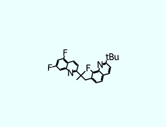 CC(C)(C)c1ccc2ccc(CC(C)(C)c3ccc4c(F)cc(F)cc4n3)c(F)c2n1